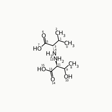 CC(C)[C@H](N)C(=O)O.CC(O)[C@H](N)C(=O)O